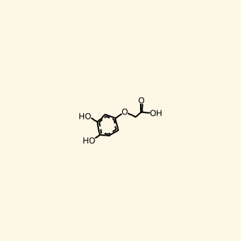 O=C(O)COc1ccc(O)c(O)c1